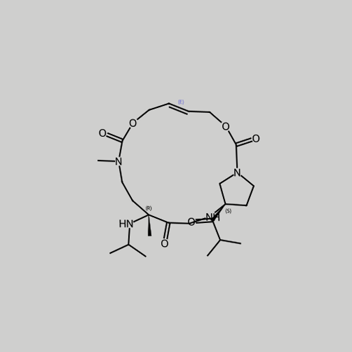 CC(C)N[C@]1(C)CCN(C)C(=O)OC/C=C/COC(=O)N2CC[C@@](C(=O)C(C)C)(C2)NCC1=O